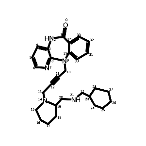 O=C1Nc2cccnc2N(CC#CCN2CCCCC2CNCC2CCCCC2)c2ccccc21